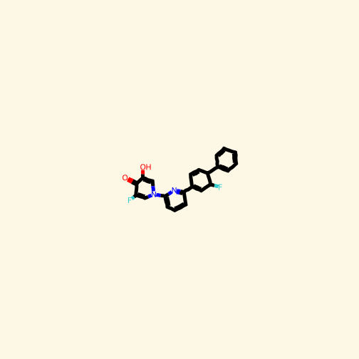 O=c1c(O)cn(-c2cccc(C3=CC(F)C(c4ccccc4)C=C3)n2)cc1F